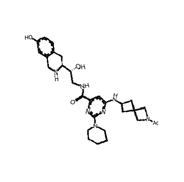 CC(=O)N1CC2(CC(Nc3cc(C(=O)NC[C@@H](O)[C@@H]4Cc5ccc(O)cc5CN4)nc(N4CCCCC4)n3)C2)C1